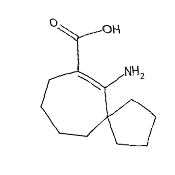 NC1=C(C(=O)O)CCCCC12CCCC2